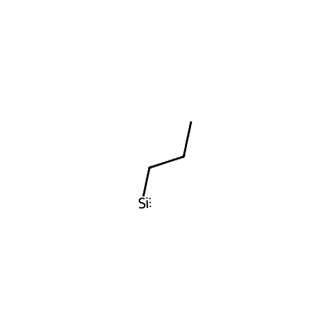 CCC[Si]